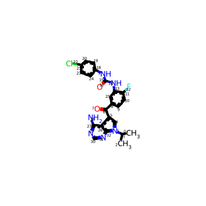 CC(C)n1cc(C(=O)c2ccc(F)c(NC(=O)Nc3ccc(Cl)cc3)c2)c2c(N)ncnc21